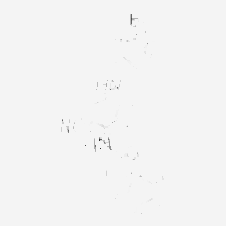 N#Cc1cc(NCc2ccc(F)cc2)ccc1NC(=O)Cc1ccccc1